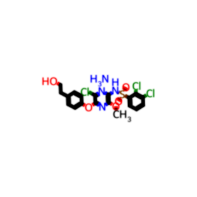 COc1nc(Oc2ccc(CCO)cc2)c(Cl)nc1NS(=O)(=O)c1cccc(Cl)c1Cl.N